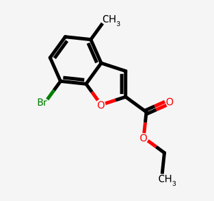 CCOC(=O)c1cc2c(C)ccc(Br)c2o1